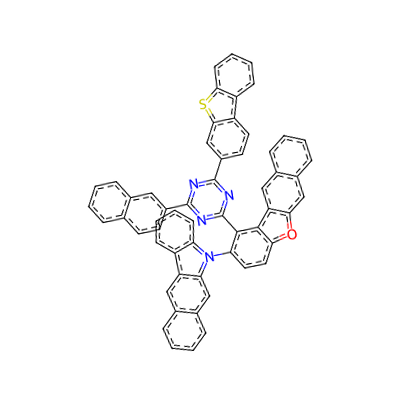 c1ccc2cc(-c3nc(-c4ccc5c(c4)sc4ccccc45)nc(-c4c(-n5c6ccccc6c6cc7ccccc7cc65)ccc5oc6cc7ccccc7cc6c45)n3)ccc2c1